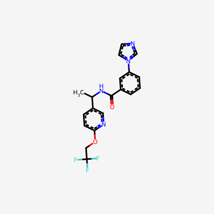 CC(NC(=O)c1cccc(-n2ccnc2)c1)c1ccc(OCC(F)(F)F)nc1